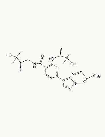 C[C@H](Nc1cc(-c2cnn3cc(C#N)cnc23)ncc1C(=O)NC[C@@H](F)C(C)(C)O)C(C)(C)O